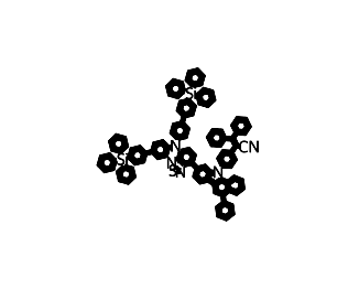 N#CC(=C(c1ccccc1)c1ccccc1)c1ccc(-n2c3cc(-c4ccc(N(c5ccc(-c6ccc([Si](c7ccccc7)(c7ccccc7)c7ccccc7)cc6)cc5)c5ccc(-c6ccc([Si](c7ccccc7)(c7ccccc7)c7ccccc7)cc6)cc5)c5nsnc45)ccc3c3cc(-c4ccccc4)c4ccccc4c32)cc1